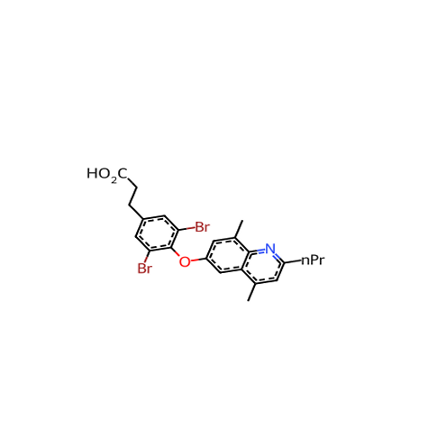 CCCc1cc(C)c2cc(Oc3c(Br)cc(CCC(=O)O)cc3Br)cc(C)c2n1